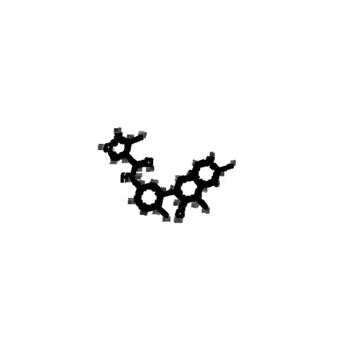 Cc1cc2c(cn1)cc(-c1cc(NC(=O)c3conc3C)ccc1C)c(=O)n2C